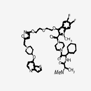 CN[C@@H](C)C(=O)NC(C(=O)N1CCN(C(=O)c2c(OCCOCCOc3cc(CN4CCC(Oc5ccnc6ccsc56)CC4)on3)c3cc(F)c(F)cc3n2C)CC1)C1CCCCC1